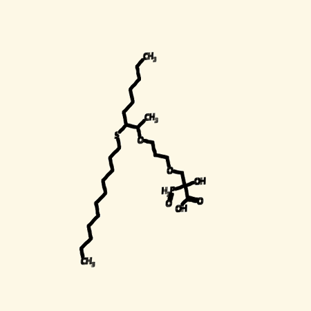 CCCCCCCCCCCSC(CCCCCC)C(C)OCCCOCC(O)([PH2]=O)C(=O)O